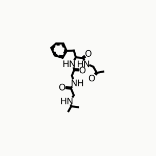 CC(=O)CNC(=O)C(Cc1ccccc1)NC(=O)CNC(=O)CNC(C)C